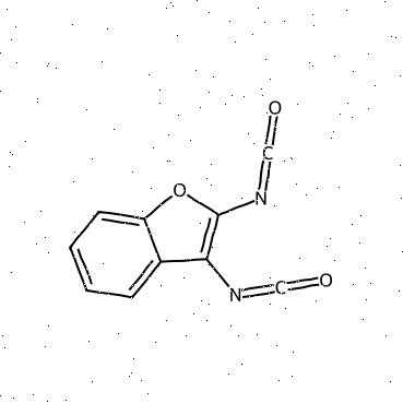 O=C=Nc1oc2ccccc2c1N=C=O